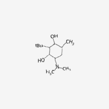 CC1CC(N(C)C)C(O)C(C(C)(C)C)C1O